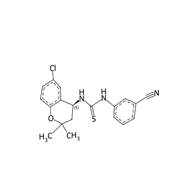 CC1(C)C[C@H](NC(=S)Nc2cccc(C#N)c2)c2cc(Cl)ccc2O1